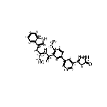 CC(C)Oc1ccc(-c2cncc(C3=NNC(=O)C3)c2)cc1C(=O)N[C@@H](CO)Cc1c[nH]c2ccccc12